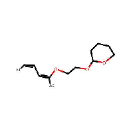 CC/C=C\C=C(/OCCOC1CCCCO1)C(C)=O